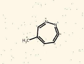 CC1=CC=C=NN=C1